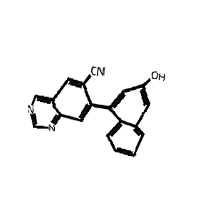 N#Cc1cc2cncnc2cc1-c1cc(O)cc2ccccc12